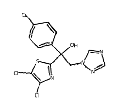 OC(Cn1cncn1)(c1ccc(Cl)cc1)c1nc(Cl)c(Cl)s1